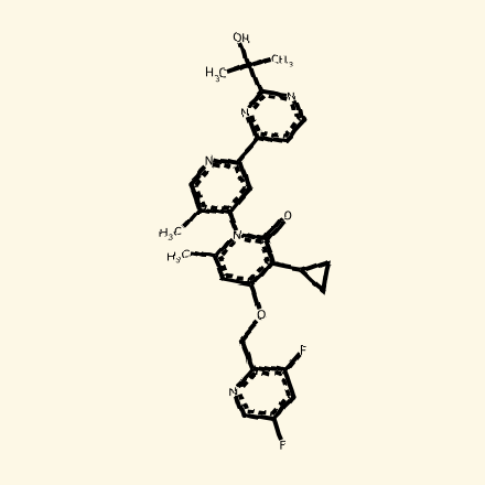 Cc1cnc(-c2ccnc(C(C)(C)O)n2)cc1-n1c(C)cc(OCc2ncc(F)cc2F)c(C2CC2)c1=O